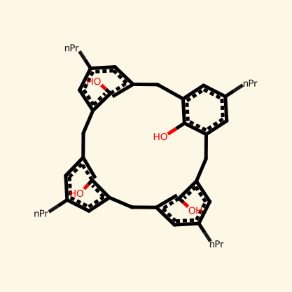 CCCc1cc2c(O)c(c1)Cc1cc(CCC)cc(c1O)Cc1cc(CCC)cc(c1O)Cc1cc(CCC)cc(c1O)C2